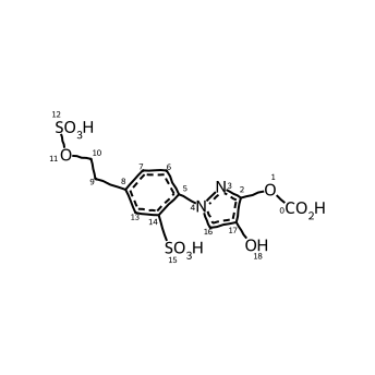 O=C(O)Oc1nn(-c2ccc(CCOS(=O)(=O)O)cc2S(=O)(=O)O)cc1O